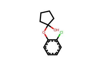 OC1(Oc2ccccc2Cl)CCCC1